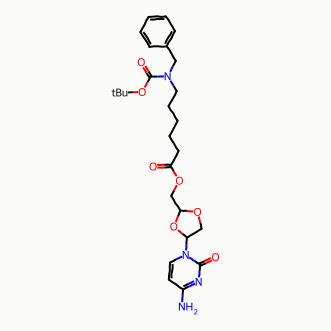 CC(C)(C)OC(=O)N(CCCCCC(=O)OCC1OCC(n2ccc(N)nc2=O)O1)Cc1ccccc1